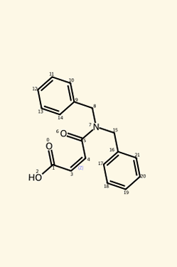 O=C(O)/C=C\C(=O)N(Cc1ccccc1)Cc1ccccc1